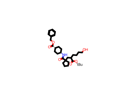 CC(C)(C)OC(=O)C(CCCCO)CC1(C(=O)N[C@H]2CC[C@@H](C(=O)OCc3ccccc3)CC2)CCCC1